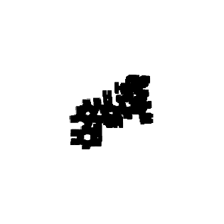 CCc1cn2c3c(cc(C(=O)N[C@@H](Cc4ccccc4)[C@H](O)CNC4CCCCC4)cc13)NS(=O)(=O)C2